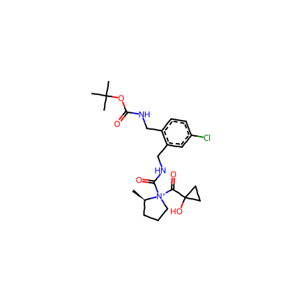 C[C@@H]1CCC[N+]1(C(=O)NCc1cc(Cl)ccc1CNC(=O)OC(C)(C)C)C(=O)C1(O)CC1